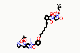 CN1CCC[C@@H]1c1cc2cnc(NC(=O)c3cccc(OCCCCCCCC#Cc4cccc5c4C(=O)N(C4CCC(=O)N(COCC[Si](C)(C)C)C4=O)C5=O)c3)cc2n1C(=O)OC(C)(C)C